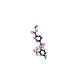 CCOC(=O)c1ccc(C(=O)Nc2ccc(F)cc2S(C)(=O)=O)cn1